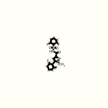 Cn1nc(C(=O)NS(=O)(=O)c2c(F)cccc2F)cc1-c1c(F)cccc1F